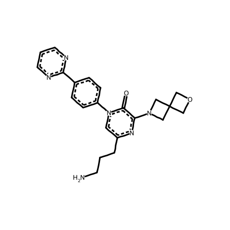 NCCCc1cn(-c2ccc(-c3ncccn3)cc2)c(=O)c(N2CC3(COC3)C2)n1